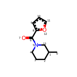 CC1CCCN(C(=O)c2ccco2)C1